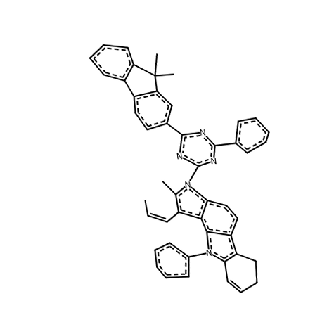 C/C=C\c1c(C)n(-c2nc(-c3ccccc3)nc(-c3ccc4c(c3)C(C)(C)c3ccccc3-4)n2)c2ccc3c4c(n(-c5ccccc5)c3c12)C=CCC4